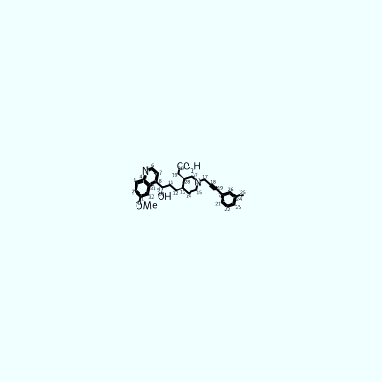 COc1ccc2nccc([C@@H](O)CC[C@@H]3CCN(CC#Cc4cccc(C)c4)C[C@@H]3CC(=O)O)c2c1